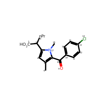 CCCC(C(=O)O)c1cc(C)c(C(=O)c2ccc(Cl)cc2)n1C